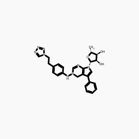 C[C@H]1O[C@@H](n2cc(-c3ccccc3)c3c2N=CN(Nc2ccc(CCn4cnnn4)cc2)C3)[C@H](O)[C@@H]1O